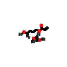 C=CC(=O)OCCC[SiH2]OCC.CCO[SiH](CC)OCC